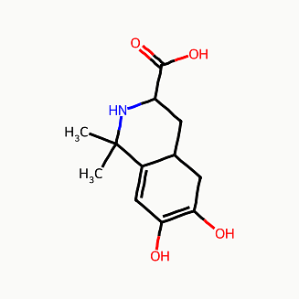 CC1(C)NC(C(=O)O)CC2CC(O)=C(O)C=C21